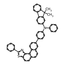 CC1(C)c2ccccc2-c2ccc(N(c3ccccc3)c3ccc(-c4ccc5c(ccc6ccc7sc(-c8ccccc8)nc7c65)c4)cc3)cc21